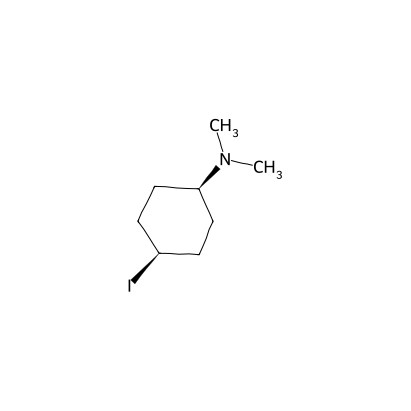 CN(C)[C@H]1CC[C@@H](I)CC1